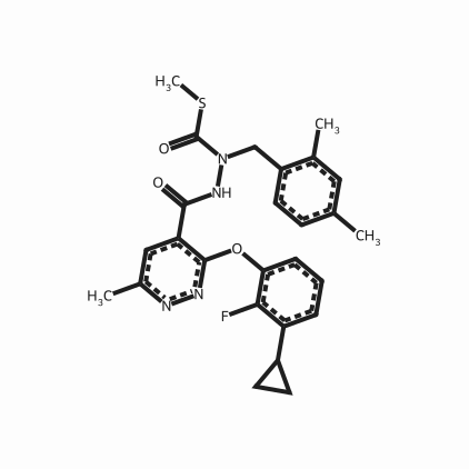 CSC(=O)N(Cc1ccc(C)cc1C)NC(=O)c1cc(C)nnc1Oc1cccc(C2CC2)c1F